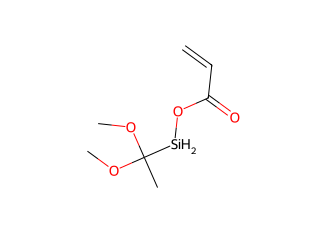 C=CC(=O)O[SiH2]C(C)(OC)OC